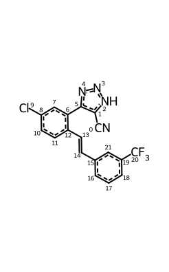 N#Cc1[nH]nnc1-c1cc(Cl)ccc1/C=C/c1cccc(C(F)(F)F)c1